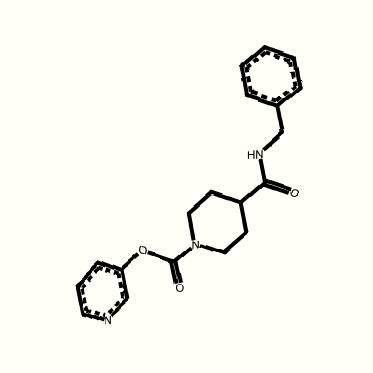 O=C(NCc1ccccc1)C1CCN(C(=O)Oc2cccnc2)CC1